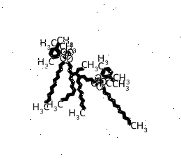 CCCCCCCCCCCCCOP(=O)(OCCCC(CCCCCCCCC)C(CCC)C(CCCCCCCCC)CCCOP(=O)(OCCCCCCCCCCCCC)Oc1cc(C)ccc1C(C)(C)C)Oc1cc(C)ccc1C(C)(C)C